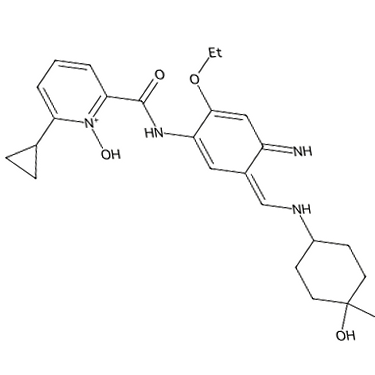 CCOC1=CC(=N)/C(=C\NC2CCC(O)(CC#N)CC2)C=C1NC(=O)c1cccc(C2CC2)[n+]1O